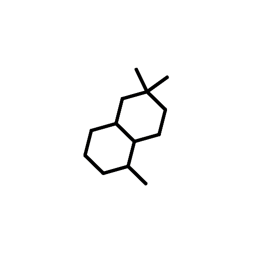 CC1CCCC2CC(C)(C)CCC12